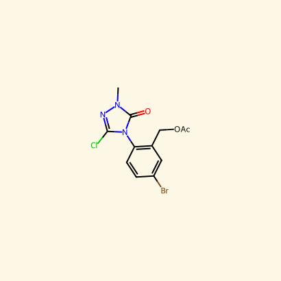 CC(=O)OCc1cc(Br)ccc1-n1c(Cl)nn(C)c1=O